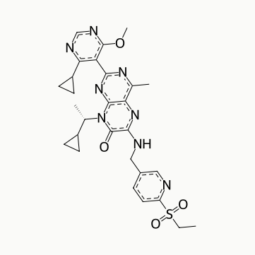 CCS(=O)(=O)c1ccc(CNc2nc3c(C)nc(-c4c(OC)ncnc4C4CC4)nc3n([C@@H](C)C3CC3)c2=O)cn1